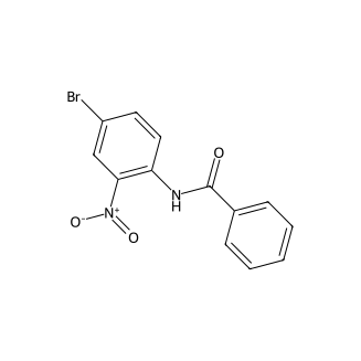 O=C(Nc1ccc(Br)cc1[N+](=O)[O-])c1ccccc1